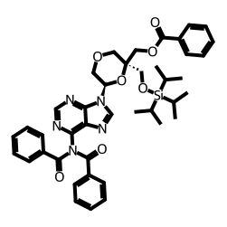 CC(C)[Si](OC[C@@]1(COC(=O)c2ccccc2)COC[C@H](n2cnc3c(N(C(=O)c4ccccc4)C(=O)c4ccccc4)ncnc32)O1)(C(C)C)C(C)C